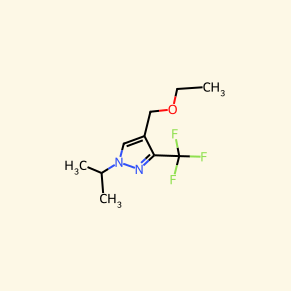 CCOCc1cn(C(C)C)nc1C(F)(F)F